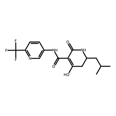 CC(C)CC1CC(O)=C(C(=O)Nc2ccc(C(F)(F)F)nc2)C(=O)N1